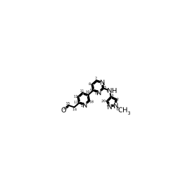 Cn1cc(Nc2nccc(-c3ccc(CC=O)nc3)n2)cn1